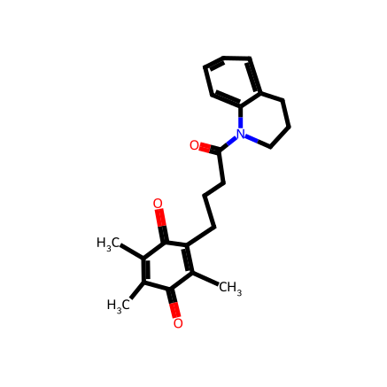 CC1=C(C)C(=O)C(CCCC(=O)N2CCCc3ccccc32)=C(C)C1=O